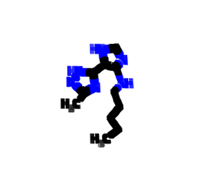 CCCCCNc1nc[nH]c1-c1nc(C)n[nH]1